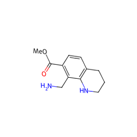 COC(=O)c1ccc2c(c1CN)NCCC2